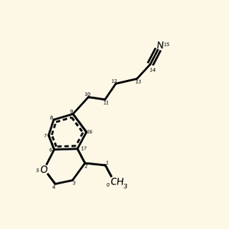 CCC1CCOc2ccc(CCCCC#N)cc21